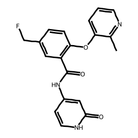 Cc1ncccc1Oc1ccc(CF)cc1C(=O)Nc1cc[nH]c(=O)c1